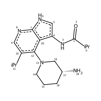 CC(C)C(=O)Nc1c[nH]c2ncc(C(C)C)c(N3CCC[C@@H](N)C3)c12